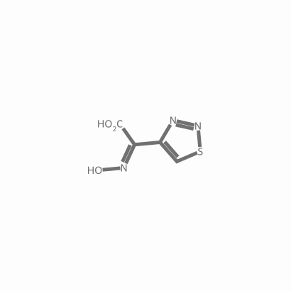 O=C(O)/C(=N\O)c1csnn1